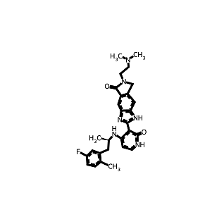 Cc1ccc(F)cc1C[C@@H](C)Nc1cc[nH]c(=O)c1-c1nc2cc3c(cc2[nH]1)CN(CCN(C)C)C3=O